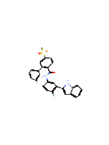 CS(=O)(=O)c1ccc(C(=O)Nc2ccc(Cl)c(-c3cc4ccccc4[nH]3)c2)c(-c2cccc(C(F)(F)F)c2)c1